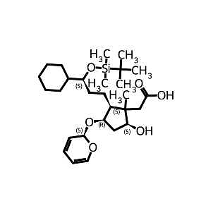 CC1(CC(=O)O)[C@H](CC[C@H](O[Si](C)(C)C(C)(C)C)C2CCCCC2)[C@H](O[C@@H]2C=CC=CO2)C[C@@H]1O